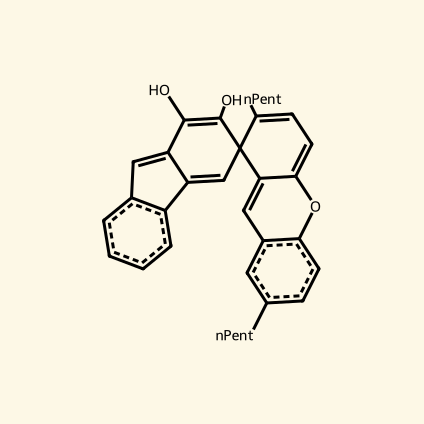 CCCCCC1=CC=C2Oc3ccc(CCCCC)cc3C=C2C12C=C1C(=Cc3ccccc31)C(O)=C2O